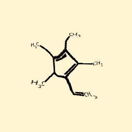 C=CC1=C(C)C(C)=C(C)C1C